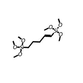 CO[Si](C=CCCC[Si](OC)(OC)OC)(OC)OC